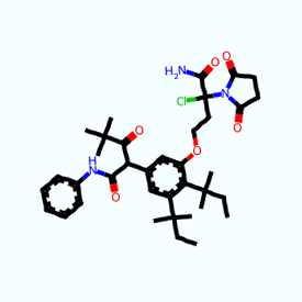 CCC(C)(C)c1cc(C(C(=O)Nc2ccccc2)C(=O)C(C)(C)C)cc(OCCC(Cl)(C(N)=O)N2C(=O)CCC2=O)c1C(C)(C)CC